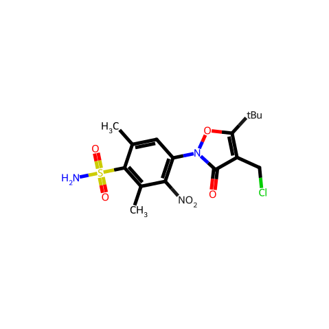 Cc1cc(-n2oc(C(C)(C)C)c(CCl)c2=O)c([N+](=O)[O-])c(C)c1S(N)(=O)=O